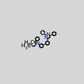 CC/C=C\c1c(C)c2ccccc2n1-c1cccc(-c2cccc(-c3cc(-c4ccccc4)nc(C4C=CC=CC4)n3)c2)c1